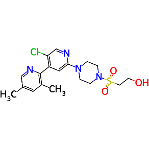 Cc1cnc(-c2cc(N3CCN(S(=O)(=O)CCO)CC3)ncc2Cl)c(C)c1